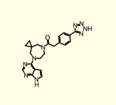 O=C(Cc1ccc(-c2nn[nH]n2)cc1)N1CCN(c2ncnc3[nH]ccc23)CC2(CC2)C1